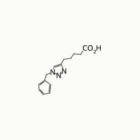 O=C(O)CCCCc1cn(Cc2ccccc2)nn1